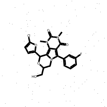 Cn1c(=O)c2c(-c3cccc(F)c3)n3c(c2n(C)c1=O)C(c1ccc(Cl)o1)OC(CO)C3